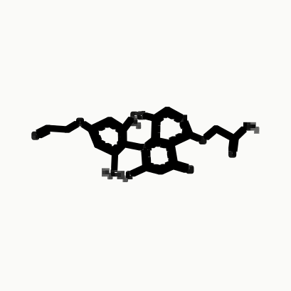 Cc1cc(OCC=O)cc(C)c1-n1c(C)cc(=O)c2c(OCC(N)=O)ncc(Cl)c21